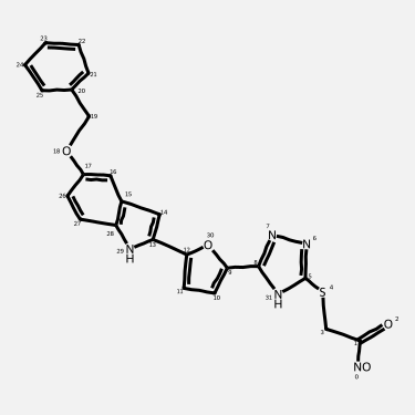 O=NC(=O)CSc1nnc(-c2ccc(-c3cc4cc(OCc5ccccc5)ccc4[nH]3)o2)[nH]1